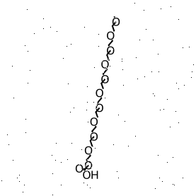 COCCOCCOCCOCCOCCOCCOCCOCCOCCOCCOC(=O)O